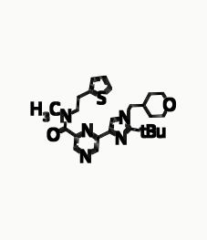 CN(CCc1cccs1)C(=O)c1cncc(-c2cn(CC3CCOCC3)c(C(C)(C)C)n2)n1